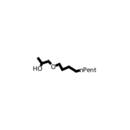 CCCCCCCCCO[CH]C(C)O